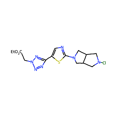 CCOC(=O)Cn1nnc(-c2cnc(N3CC4CN(Cl)CC4C3)s2)n1